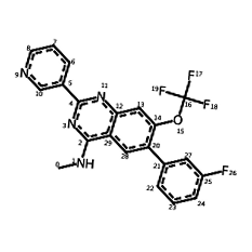 CNc1nc(-c2cccnc2)nc2cc(OC(F)(F)F)c(-c3cccc(F)c3)cc12